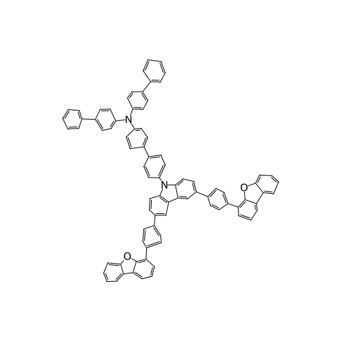 c1ccc(-c2ccc(N(c3ccc(-c4ccccc4)cc3)c3ccc(-c4ccc(-n5c6ccc(-c7ccc(-c8cccc9c8oc8ccccc89)cc7)cc6c6cc(-c7ccc(-c8cccc9c8oc8ccccc89)cc7)ccc65)cc4)cc3)cc2)cc1